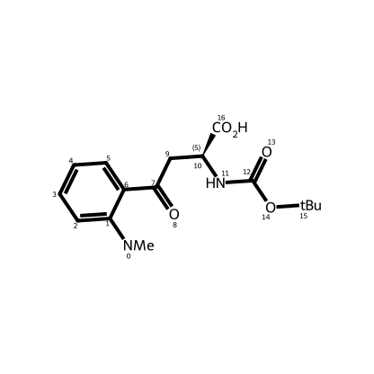 CNc1ccccc1C(=O)C[C@H](NC(=O)OC(C)(C)C)C(=O)O